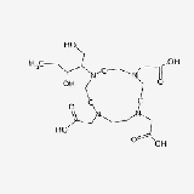 CCC(O)C(CO)N1CCN(CC(=O)O)CCN(CC(=O)O)CCN(CC(=O)O)CC1